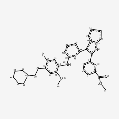 COC(=O)c1cccc(-c2nc3ccccn3c2-c2ccnc(Nc3cc(F)c(CCN4CCCCC4)cc3OC)n2)c1